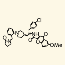 COc1ccc2oc(C(=O)N[C@H](C=C3CCN(c4ccccc4CN4CCCC4=O)CC3)Cc3ccc(Cl)cc3)cc(=O)c2c1